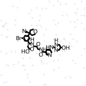 N#CC1(c2cc(Br)cc([C@H](CC(=O)O)NCC(=O)CNC(=O)c3cncc(NC4=NCC(O)CN4)c3)c2)CCOCC1